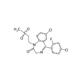 CS(=O)(=O)CCN1C(=O)CN=C(c2ccc(Cl)cc2F)c2cc(Cl)ccc21